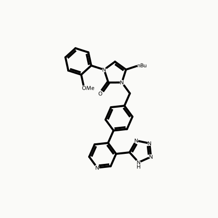 CCCCc1cn(-c2ccccc2OC)c(=O)n1Cc1ccc(-c2ccncc2-c2nnn[nH]2)cc1